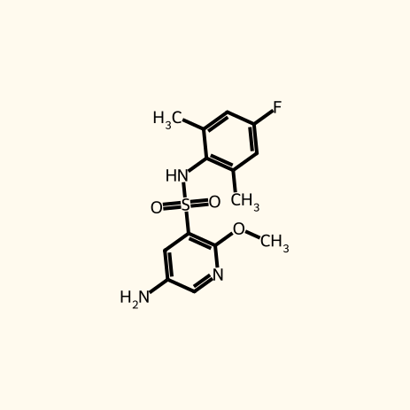 COc1ncc(N)cc1S(=O)(=O)Nc1c(C)cc(F)cc1C